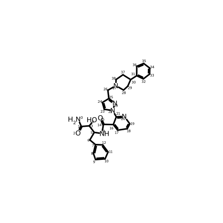 NC(=O)C(O)C(Cc1ccccc1)NC(=O)c1cccnc1-n1ccc(CN2CCC(c3ccccc3)CC2)n1